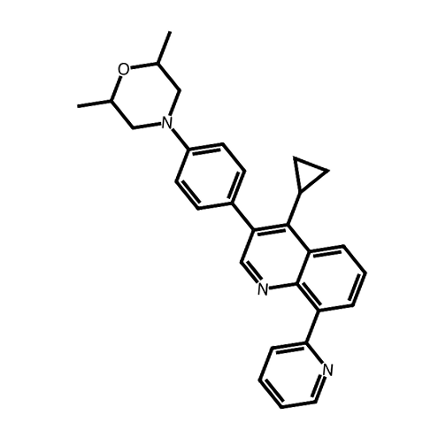 CC1CN(c2ccc(-c3cnc4c(-c5ccccn5)cccc4c3C3CC3)cc2)CC(C)O1